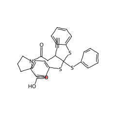 C#CC(CC(=O)N1CCC[C@H]1C(=O)O)C(Sc1ccccc1)(Sc1ccccc1)Sc1ccccc1